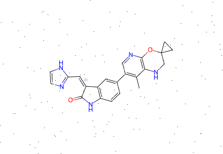 Cc1c(-c2ccc3c(c2)/C(=C/c2ncc[nH]2)C(=O)N3)cnc2c1NCC1(CC1)O2